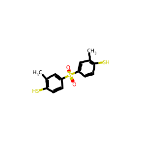 Cc1cc(S(=O)(=O)c2ccc(S)c(C)c2)ccc1S